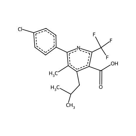 Cc1c(-c2ccc(Cl)cc2)nc(C(F)(F)F)c(C(=O)O)c1CC(C)C